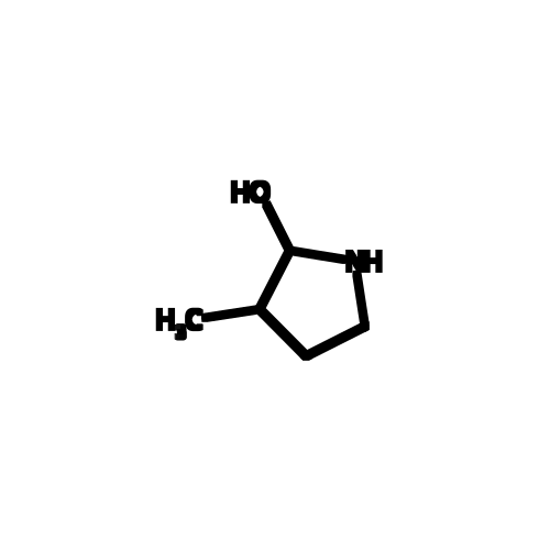 CC1CCNC1O